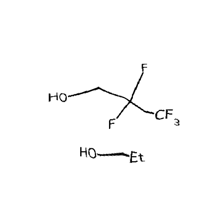 CCO.OCC(F)(F)C(F)(F)F